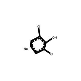 Oc1c(Cl)cccc1Cl.[Na]